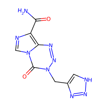 NC(=O)c1ncn2c(=O)n(Cc3c[nH]nn3)nnc12